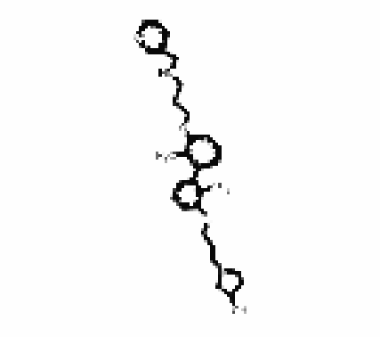 Cc1c(OCCCNCc2cccnc2)cccc1-c1cccc(OCCCN2CCC(O)C2)c1C